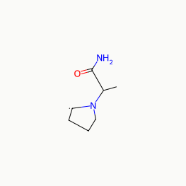 CC(C(N)=O)N1[CH]CCC1